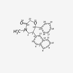 CN1CC(c2ccc3ccccc3c2)C(c2ccccc2)OCC1=O